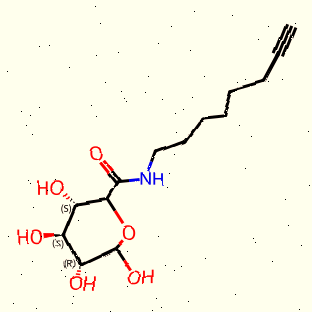 C#CCCCCCCNC(=O)C1OC(O)[C@H](O)[C@@H](O)[C@@H]1O